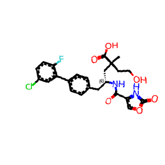 CC(CCO)(C[C@@H](Cc1ccc(-c2cc(Cl)ccc2F)cc1)NC(=O)c1coc(=O)[nH]1)C(=O)O